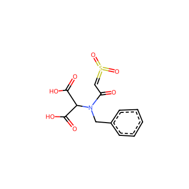 O=C(O)C(C(=O)O)N(Cc1ccccc1)C(=O)C=S(=O)=O